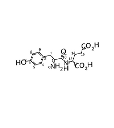 N[C@@H](Cc1ccc(O)cc1)C(=O)N[C@@H](CCC(=O)O)C(=O)O